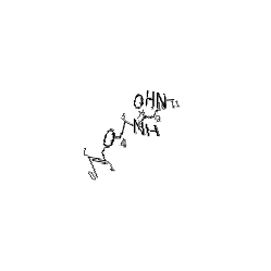 CC=COCCNC(=O)CNC